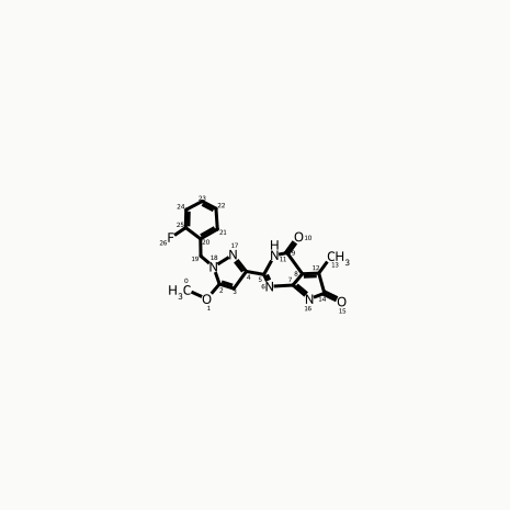 COc1cc(-c2nc3c(c(=O)[nH]2)=C(C)C(=O)N=3)nn1Cc1ccccc1F